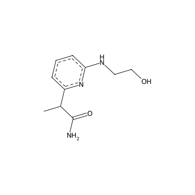 CC(C(N)=O)c1cccc(NCCO)n1